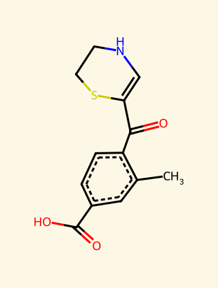 Cc1cc(C(=O)O)ccc1C(=O)C1=CNCCS1